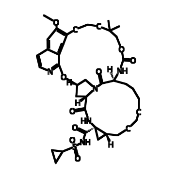 COc1cc2ccnc3c2cc1CCCC(C)(C)COC(=O)N[C@H]1CCCCCCC[C@@H]2C[C@@]2(C(=O)NS(=O)(=O)C2CC2)NC(=O)[C@@H]2C[C@H](CN2C1=O)O3